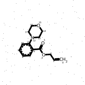 C=CCOC(=O)c1ccc[c]c1N1CCOCC1